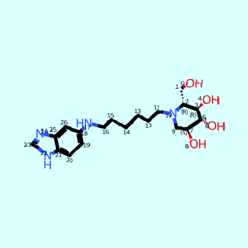 OC[C@@H]1[C@@H](O)[C@H](O)[C@@H](O)CN1CCCCCCNc1ccc2[nH]cnc2c1